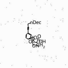 C=C(P(=O)(O)O)P(=O)(O)Oc1cccc(C#CCCCCCCCCCCC)c1